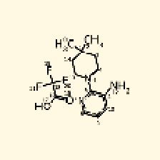 CC1(C)CCN(c2ncccc2N)CC1.O=C(O)C(F)(F)F